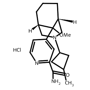 COC1(c2ccnc(C(N)=O)c2)[C@@H]2CCC[C@H]1CN(C1CC(C)C1)C2.Cl